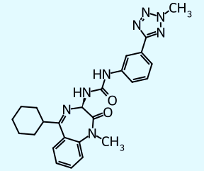 CN1C(=O)[C@H](NC(=O)Nc2cccc(-c3nnn(C)n3)c2)N=C(C2CCCCC2)c2ccccc21